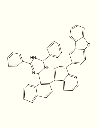 c1ccc(C2=NC(c3c(-c4ccc(-c5ccc6oc7ccccc7c6c5)c5ccccc45)ccc4ccccc34)NC(c3ccccc3)N2)cc1